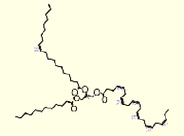 CC/C=C\C/C=C\C/C=C\C/C=C\C/C=C\C/C=C\CCC(=O)OC[C@@H](COC(=O)CCCCCCCCCCC)OC(=O)CCCCCCCCC/C=C\CCCCCCCC